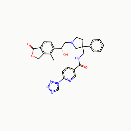 Cc1c([C@@H](O)CN2CCC(CNC(=O)c3ccc(-n4cnnn4)nc3)(c3ccccc3)C2)ccc2c1COC2=O